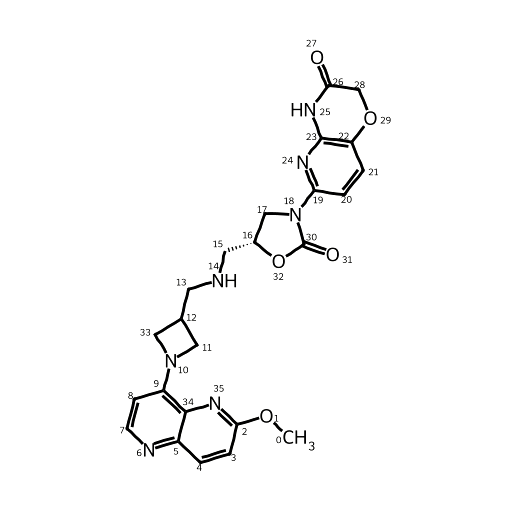 COc1ccc2nccc(N3CC(CNC[C@@H]4CN(c5ccc6c(n5)NC(=O)CO6)C(=O)O4)C3)c2n1